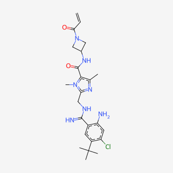 C=CC(=O)N1CC(NC(=O)c2c(C)nc(CNC(=N)c3cc(C(C)(C)C)c(Cl)cc3N)n2C)C1